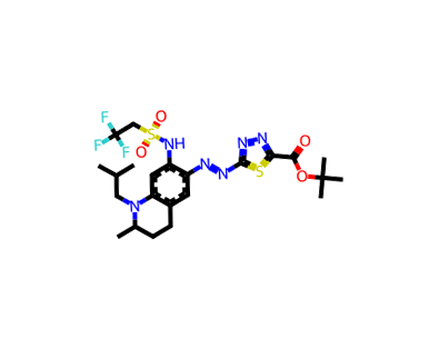 CC(C)CN1c2cc(NS(=O)(=O)CC(F)(F)F)c(N=Nc3nnc(C(=O)OC(C)(C)C)s3)cc2CCC1C